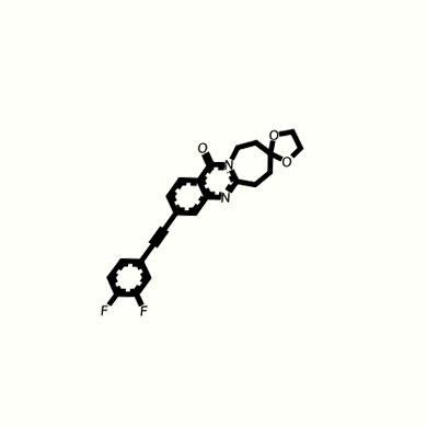 O=c1c2ccc(C#Cc3ccc(F)c(F)c3)cc2nc2n1CCC1(CC2)OCCO1